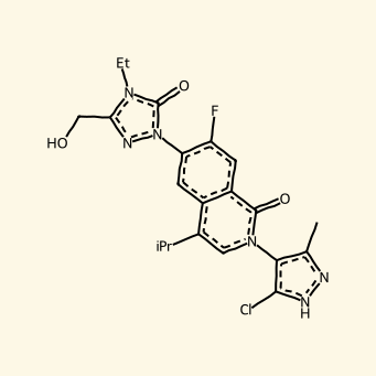 CCn1c(CO)nn(-c2cc3c(C(C)C)cn(-c4c(C)n[nH]c4Cl)c(=O)c3cc2F)c1=O